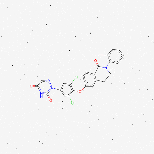 O=C1c2ccc(Oc3c(Cl)cc(-n4ncc(=O)[nH]c4=O)cc3Cl)cc2CCN1c1ccccc1F